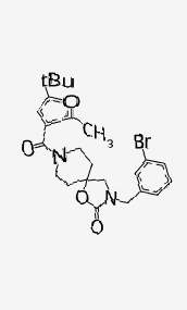 Cc1oc(C(C)(C)C)cc1C(=O)N1CCC2(CC1)CN(Cc1cccc(Br)c1)C(=O)O2